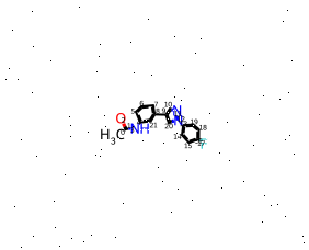 CC(=O)Nc1cccc(-c2cnn(-c3ccc(F)cc3)c2)c1